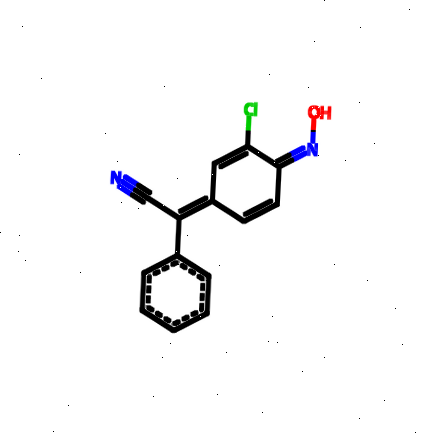 N#C/C(=C1C=C/C(=N/O)C(Cl)=C/1)c1ccccc1